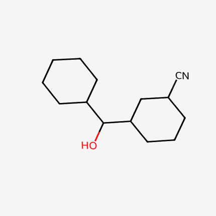 N#CC1CCCC(C(O)C2CCCCC2)C1